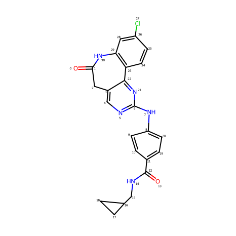 O=C1Cc2cnc(Nc3ccc(C(=O)NCC4CC4)cc3)nc2-c2ccc(Cl)cc2N1